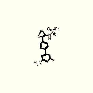 CC(C)S(=O)(=O)Nc1ccsc1-c1ccc(-c2cc(N)cc(F)c2)cc1